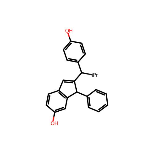 CC(C)C(C1=Cc2ccc(O)cc2C1c1ccccc1)c1ccc(O)cc1